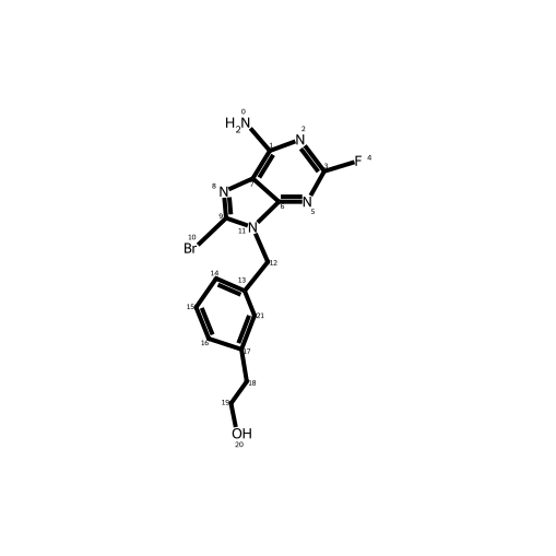 Nc1nc(F)nc2c1nc(Br)n2Cc1cccc(CCO)c1